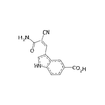 N#CC(=Cc1c[nH]c2ccc(C(=O)O)cc12)C(N)=O